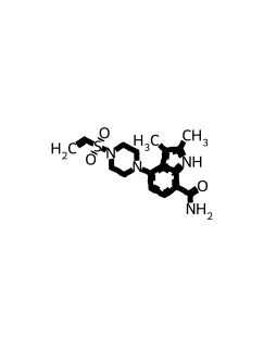 C=CS(=O)(=O)N1CCN(c2ccc(C(N)=O)c3[nH]c(C)c(C)c23)CC1